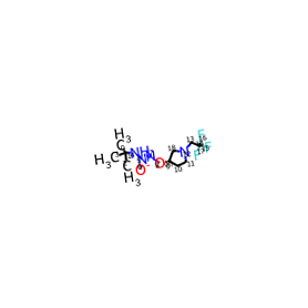 CC(C)(C)N/[N+]([O-])=N/O[C@@H]1CCN(CC(F)(F)F)C1